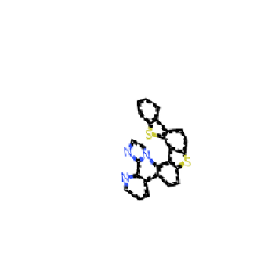 c1ccc2c(c1)sc1c2ccc2sc3ccc4c5cccnc5c5nccn5c4c3c21